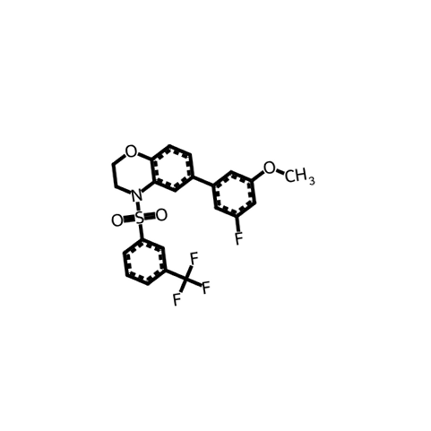 COc1cc(F)cc(-c2ccc3c(c2)N(S(=O)(=O)c2cccc(C(F)(F)F)c2)CCO3)c1